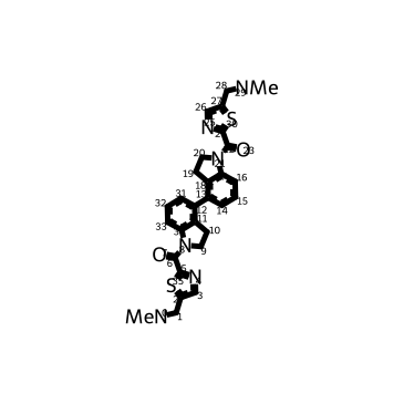 CNCc1cnc(C(=O)N2CCc3c(-c4cccc5c4CCN5C(=O)c4ncc(CNC)s4)cccc32)s1